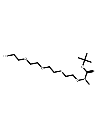 CN(OCCOCCOCCOCCO)C(=O)OC(C)(C)C